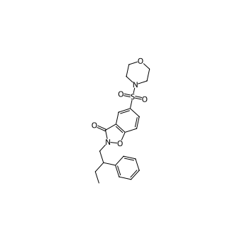 CCC(Cn1oc2ccc(S(=O)(=O)N3CCOCC3)cc2c1=O)c1ccccc1